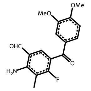 COc1ccc(C(=O)c2cc(C=O)c(N)c(C)c2F)cc1OC